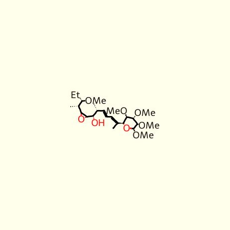 CC[C@H](OC)[C@@H](C)[C@@H]1O[C@H]1[C@@H](O)[C@H](C)/C=C/C=C(\C)[C@@H]1O[C@H](OC)[C@H](OC)[C@@H](OC)[C@@H]1OC